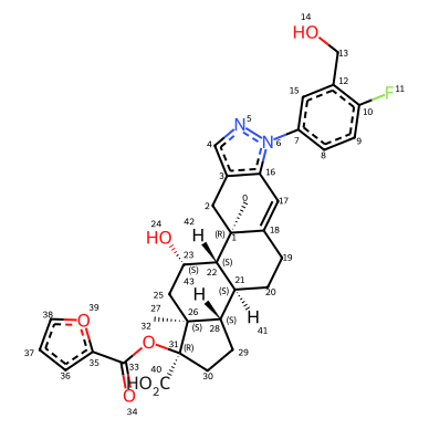 C[C@]12Cc3cnn(-c4ccc(F)c(CO)c4)c3C=C1CC[C@@H]1[C@@H]2[C@@H](O)C[C@@]2(C)[C@H]1CC[C@]2(OC(=O)c1ccco1)C(=O)O